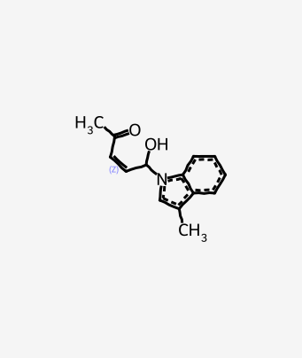 CC(=O)/C=C\C(O)n1cc(C)c2ccccc21